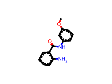 COc1cccc(NC(=O)c2ccccc2N)c1